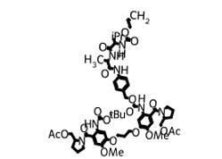 C=CCOC(=O)NC(C(=O)NC(C)C(=O)Nc1ccc(COC(=O)Nc2cc(OCCCOc3cc(NC(=O)OC(C)(C)C)c(C(=O)N4CCCC4COC(C)=O)cc3OC)c(OC)cc2C(=O)N2CCCC2COC(C)=O)cc1)C(C)C